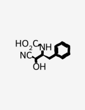 N#C[C@H](O)[C@H](Cc1ccccc1)NC(=O)O